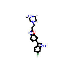 C[C@@H]1CN(CCc2nc3ccc(-c4c[nH]c5cc(F)ccc45)cc3o2)C[C@@H](C)N1